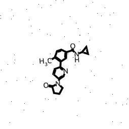 Cc1ccc(C(=O)NC2CC2)cc1-c1ccc(N2CCCC2=O)cn1